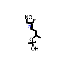 CC(C/C=C(\F)CN=O)OC(C)(C)O